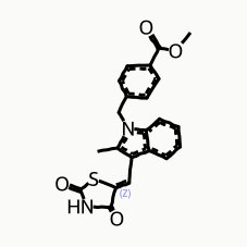 COC(=O)c1ccc(Cn2c(C)c(/C=C3\SC(=O)NC3=O)c3ccccc32)cc1